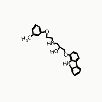 Cc1cccc(OCCNCC(O)COc2cccc3c2[nH]c2ccccc23)c1